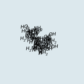 CC[C@H](C)[C@H](NC(=O)[C@@H](NC(=O)[C@@H]1C[C@@H](O)CN1C(=O)[C@@H](N)C(C)C)[C@@H](C)CC)C(=O)N[C@@H](Cc1ccc(O)cc1)C(=O)N[C@H](C(=O)N[C@@H](CC(N)=O)C(=O)N[C@@H](CCCNC(=N)N)C(=O)N[C@@H](CCN)C(=O)N[C@H](C(=O)N[C@H](CCN)C(=O)N[C@@H](CCCNC(N)=O)C(=O)N[C@@H](CS)C(=O)N[C@@H](CCN)C(=O)N[C@@H](CCCNC(=N)N)C(=O)N[C@@H](Cc1ccc(O)cc1)C(=O)O)[C@@H](C)O)C(C)(C)S